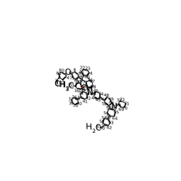 C=Cc1ccc(Oc2ccc(C3(c4cc(C)ccc4C)c4ccccc4-c4ccc(N(c5ccc(-c6ccccc6)cc5)c5ccc(-c6ccc7c(c6)c6cc(-c8ccc(C=C)cc8)ccc6n7-c6ccccc6)cc5)cc43)cc2)cc1